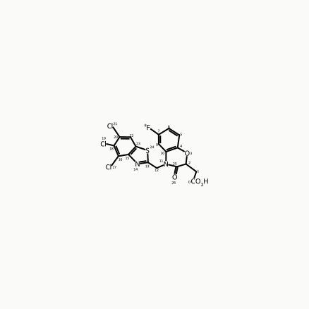 O=C(O)CC1Oc2ccc(F)cc2N(Cc2nc3c(Cl)c(Cl)c(Cl)cc3s2)C1=O